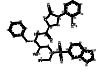 CC(C)CN(C[C@@H](O)[C@H](Cc1ccccc1)NC(=O)[C@@H]1CN(c2ccccc2C(F)(F)F)C(=O)O1)S(=O)(=O)c1ccc2ncsc2c1